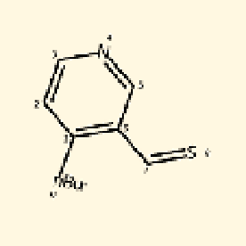 CCC[CH]c1ccncc1C=S